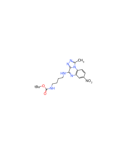 Cc1nnc2c(NCCCCNC(=O)OC(C)(C)C)nc3cc([N+](=O)[O-])ccc3n12